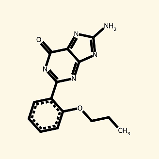 CCCOc1ccccc1C1=NC(=O)C2=NC(N)=NC2=N1